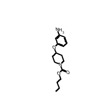 CCCCOC(=O)N1CCC(Oc2cccc(N)c2)CC1